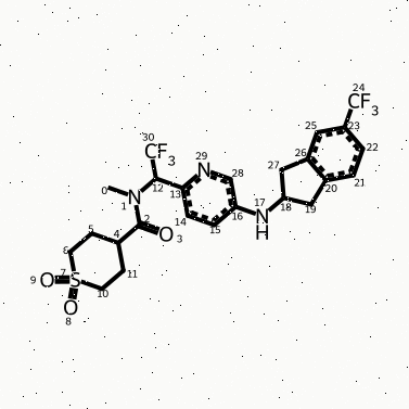 CN(C(=O)C1CCS(=O)(=O)CC1)C(c1ccc(NC2Cc3ccc(C(F)(F)F)cc3C2)cn1)C(F)(F)F